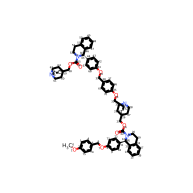 COc1ccc(COc2ccc([C@@H]3c4ccccc4CCN3C(=O)OCC34CCN(CC3)C(COc3ccc(COc5ccc([C@H]6c7ccccc7CCN6C(=O)OCC67CCN(CC6)CC7)cc5)cc3)C4)cc2)cc1